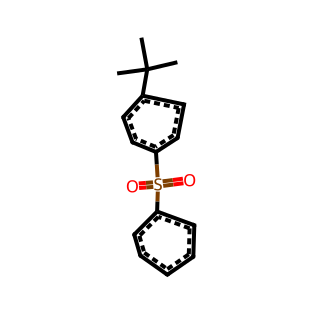 CC(C)(C)c1ccc(S(=O)(=O)c2ccccc2)cc1